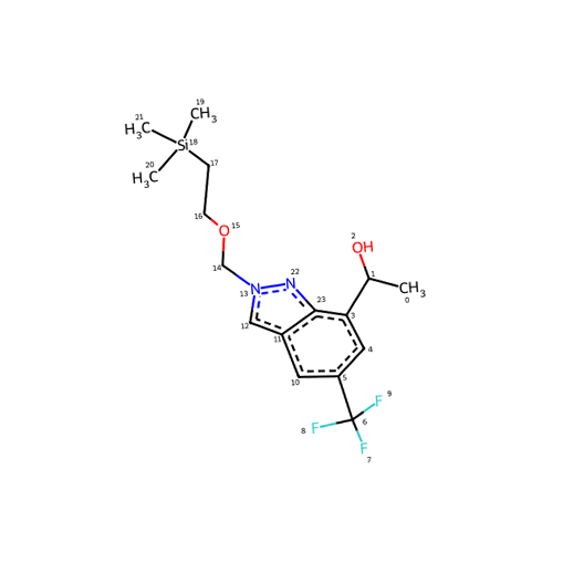 CC(O)c1cc(C(F)(F)F)cc2cn(COCC[Si](C)(C)C)nc12